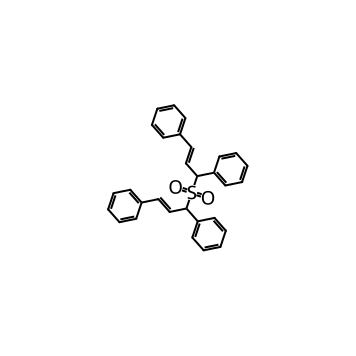 O=S(=O)(C(/C=C/c1ccccc1)c1ccccc1)C(/C=C/c1ccccc1)c1ccccc1